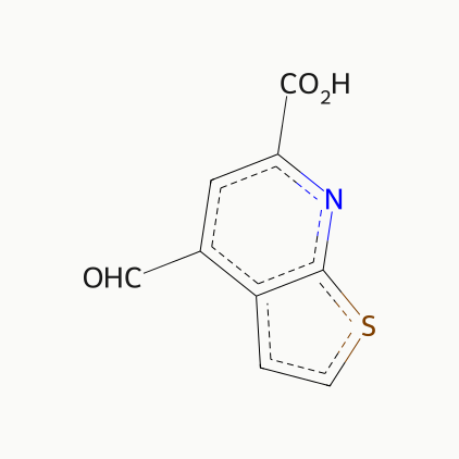 O=Cc1cc(C(=O)O)nc2sccc12